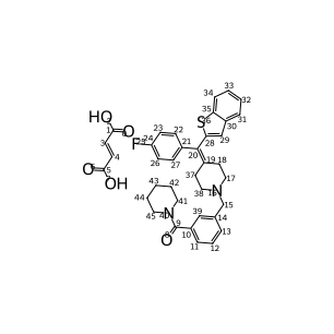 O=C(O)C=CC(=O)O.O=C(c1cccc(CN2CCC(=C(c3ccc(F)cc3)c3cc4ccccc4s3)CC2)c1)N1CCCCC1